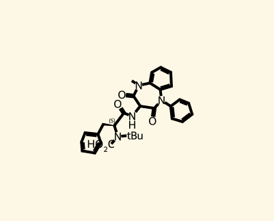 CN1C(=O)C(NC(=O)[C@H](Cc2ccccc2)N(C(=O)O)C(C)(C)C)C(=O)N(c2ccccc2)c2ccccc21